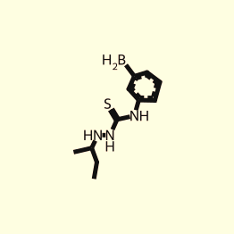 Bc1cccc(NC(=S)NNC(C)CC)c1